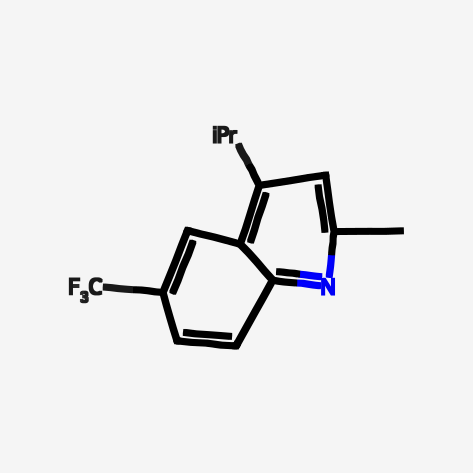 Cc1cc(C(C)C)c2cc(C(F)(F)F)ccc2n1